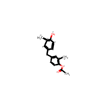 CC(=O)Oc1ccc(Cc2ccc(O)c(C)c2)cc1C